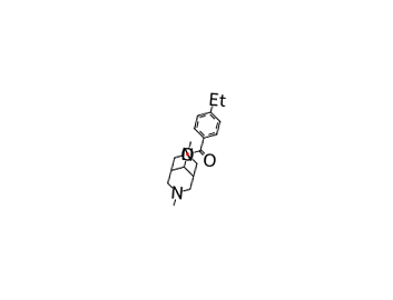 CCc1ccc(C(=O)OC2C3CN(C)CC2CN(C)C3)cc1